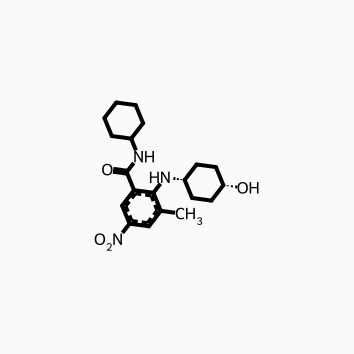 Cc1cc([N+](=O)[O-])cc(C(=O)NC2CCCCC2)c1N[C@H]1CC[C@@H](O)CC1